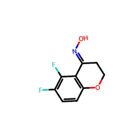 ON=C1CCOc2ccc(F)c(F)c21